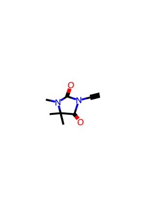 C#CN1C(=O)N(C)C(C)(C)C1=O